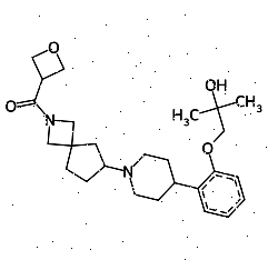 CC(C)(O)COc1ccccc1C1CCN(C2CCC3(C2)CN(C(=O)C2COC2)C3)CC1